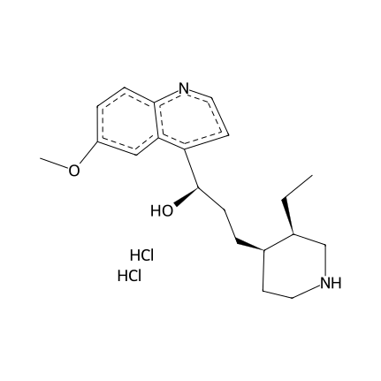 CC[C@H]1CNCC[C@H]1CC[C@@H](O)c1ccnc2ccc(OC)cc12.Cl.Cl